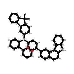 CC1(C)c2ccccc2-c2cc(N(c3ccc(-c4ccc5ccc6sc7ccccc7c6c5c4)cc3)c3ccccc3-c3ccccc3)ccc21